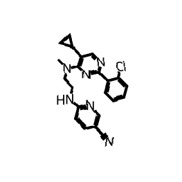 CN(CCNc1ccc(C#N)cn1)c1nc(-c2ccccc2Cl)ncc1C1CC1